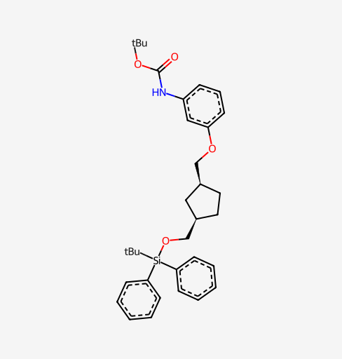 CC(C)(C)OC(=O)Nc1cccc(OC[C@H]2CC[C@@H](CO[Si](c3ccccc3)(c3ccccc3)C(C)(C)C)C2)c1